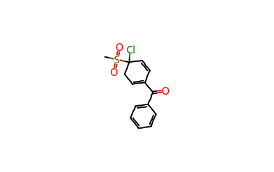 CS(=O)(=O)C1(Cl)C=CC(C(=O)c2ccccc2)=CC1